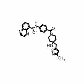 Cc1cc(CC2(O)CCN(C(=O)c3ccc(N[S+]([O-])c4cccc5nccnc45)cc3)CC2)sn1